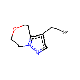 CC(C)Cc1cnn2c1COCC2